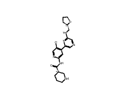 O=C(Nc1cc(-c2cncc(NC[C@H]3CCCO3)n2)c(Cl)cn1)[C@@H]1CCCNC1